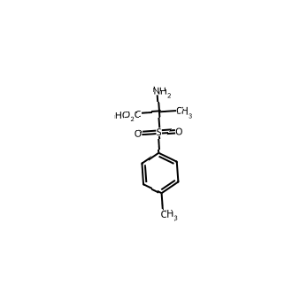 Cc1ccc(S(=O)(=O)C(C)(N)C(=O)O)cc1